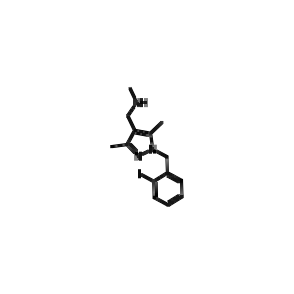 CNCc1c(C)nn(Cc2ccccc2I)c1C